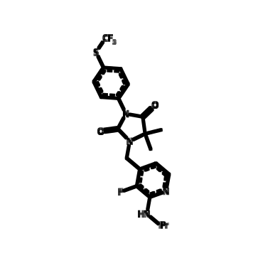 CC(C)Nc1nccc(CN2C(=O)N(c3ccc(SC(F)(F)F)cc3)C(=O)C2(C)C)c1F